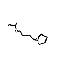 CC(C)OCCCCN1CCCC1